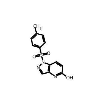 Cc1ccc(S(=O)(=O)n2ncc3nc(O)ccc32)cc1